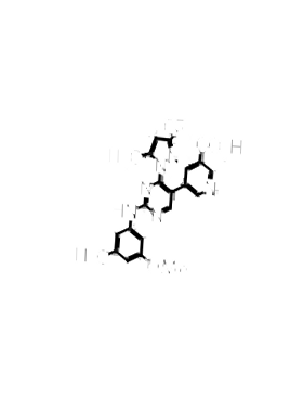 COc1cc(C)cc(Nc2ncc(-c3cncc(C(=O)O)c3)c(-n3nc(C(F)(F)F)cc3C)n2)c1